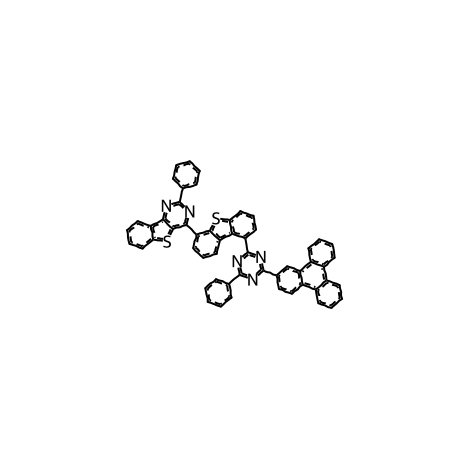 c1ccc(-c2nc(-c3ccc4c5ccccc5c5ccccc5c4c3)nc(-c3cccc4sc5c(-c6nc(-c7ccccc7)nc7c6sc6ccccc67)cccc5c34)n2)cc1